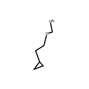 [CH2]CCCOCCC1CC1